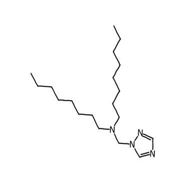 CCCCCCCCN(CCCCCCCC)Cn1cncn1